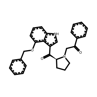 O=C(CN1CCC[C@H]1C(=O)c1c[nH]c2cccc(OCc3ccccc3)c12)c1ccccc1